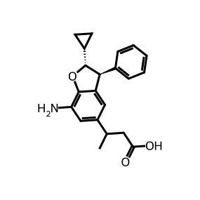 CC(CC(=O)O)c1cc(N)c2c(c1)[C@H](c1ccccc1)[C@@H](C1CC1)O2